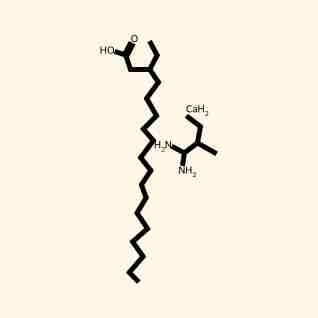 CCC(C)C(N)N.CCCCCCCCCCCCCCCC(CC)CC(=O)O.[CaH2]